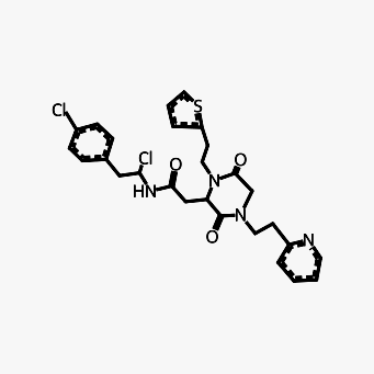 O=C(CC1C(=O)N(CCc2ccccn2)CC(=O)N1CCc1cccs1)NC(Cl)Cc1ccc(Cl)cc1